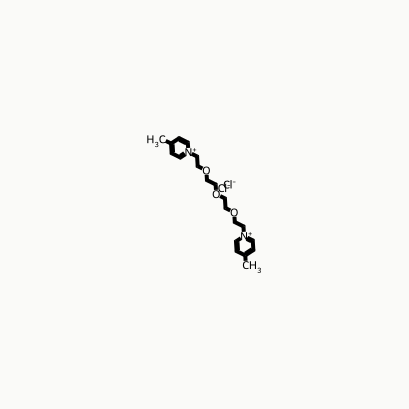 Cc1cc[n+](CCOCCOCCOCC[n+]2ccc(C)cc2)cc1.[Cl-].[Cl-]